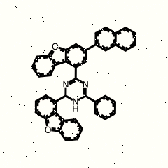 c1ccc(C2=NC(c3cc(-c4ccc5ccccc5c4)cc4oc5ccccc5c34)=NC(c3cccc4oc5ccccc5c34)N2)cc1